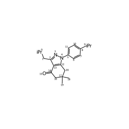 CC(C)Cc1nn(-c2ccc(C(C)C)cc2)c2c1C(=O)CC(C)(C)C2